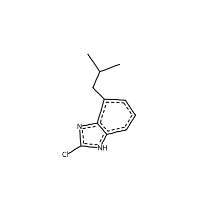 CC(C)Cc1cccc2[nH]c(Cl)nc12